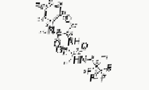 CC(C(=O)NCC(F)(F)C(F)(F)F)C(=O)NC1COc2ccc(F)cc2N(C)C1=O